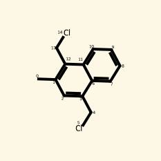 Cc1cc(CCl)c2ccccc2c1CCl